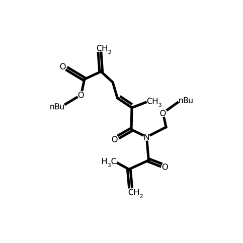 C=C(C)C(=O)N(COCCCC)C(=O)C(C)=CCC(=C)C(=O)OCCCC